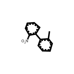 Cc1ccccc1-c1cc[c]cc1[N+](=O)[O-]